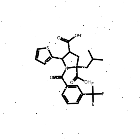 CC(C)CC1(C(=O)O)CC(C(=O)O)C(c2cccs2)N1C(=O)c1cccc(C(F)(F)F)c1